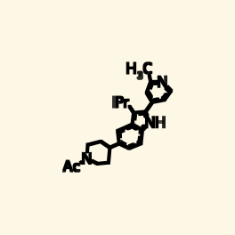 CC(=O)N1CCC(c2ccc3[nH]c(-c4ccnc(C)c4)c(C(C)C)c3c2)CC1